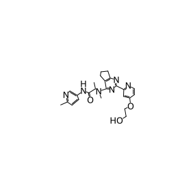 Cc1ccc(NC(=O)C(C)N(C)c2nc(-c3cc(OCCO)ccn3)nc3c2CCC3)cn1